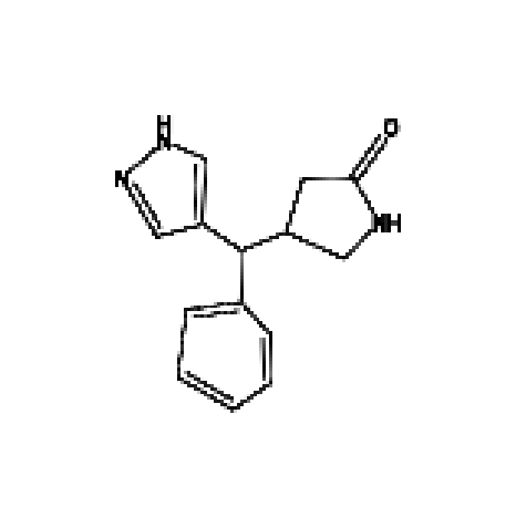 O=C1CC(C(c2ccccc2)c2cn[nH]c2)CN1